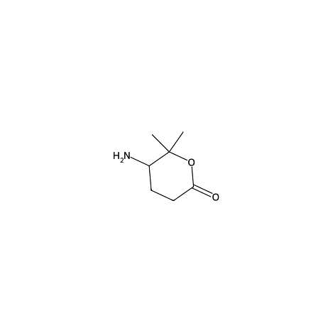 CC1(C)OC(=O)CCC1N